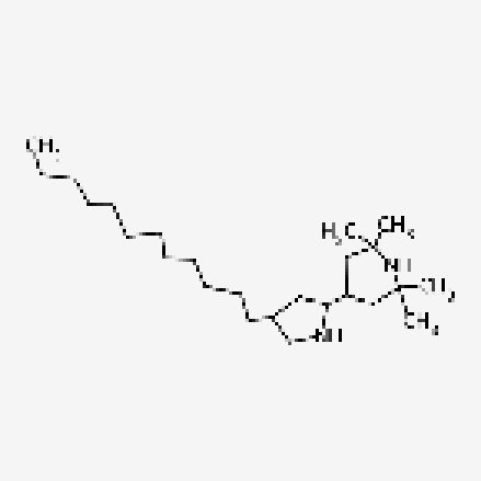 CCCCCCCCCCCCC1CNC(C2CC(C)(C)NC(C)(C)C2)C1